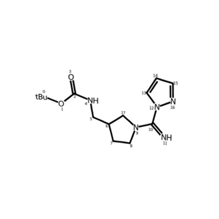 CC(C)(C)OC(=O)NCC1CCN(C(=N)n2cccn2)C1